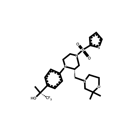 CC1(C)CN(C[C@H]2CN(S(=O)(=O)c3cccs3)CCN2c2ccc([C@](C)(O)C(F)(F)F)cc2)CCO1